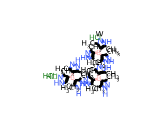 Cc1n[nH]c(C)c1B(c1c(C)n[nH]c1C)c1c(C)n[nH]c1C.Cc1n[nH]c(C)c1B(c1c(C)n[nH]c1C)c1c(C)n[nH]c1C.Cc1n[nH]c(C)c1B(c1c(C)n[nH]c1C)c1c(C)n[nH]c1C.Cl.Cl.Cl.[W]